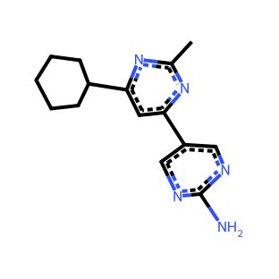 Cc1nc(-c2cnc(N)nc2)cc(C2CCCCC2)n1